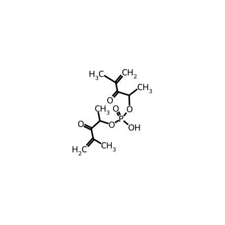 C=C(C)C(=O)C(C)OP(=O)(O)OC(C)C(=O)C(=C)C